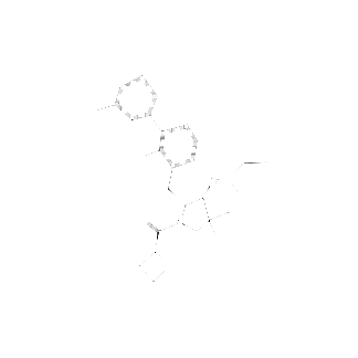 CC[S+]([O-])N[C@@H]1[C@H](Cc2cccc(-c3cccc(F)c3)c2F)N(C(=O)[C@@H]2CCO2)CC1(F)F